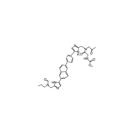 CCCN(C=O)Cc1ncc(-c2ccc3cc(-c4ccc(-c5cnc(CN(CC(C)=O)C(=O)CNC(=O)OC)[nH]5)cc4)ccc3c2)[nH]1